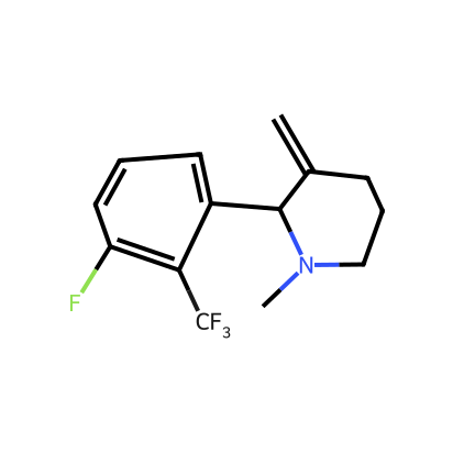 C=C1CCCN(C)C1c1cccc(F)c1C(F)(F)F